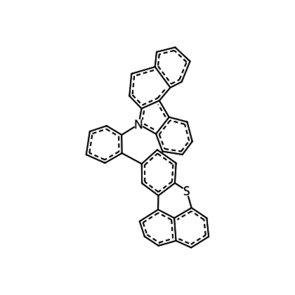 c1ccc(-n2c3ccccc3c3c4ccccc4ccc32)c(-c2ccc3c(c2)-c2cccc4cccc(c24)S3)c1